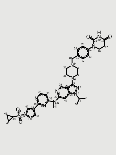 CC(C)n1nc(N2CCN(Cc3ccc(N4CCC(=O)NC4=O)cc3)CC2)c2cnc(Nc3ccnc(-c4cnn(S(=O)(=O)C5CC5)c4)n3)cc21